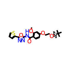 COc1cc(OCCO[Si](C)(C)C(C)(C)C)ccc1C(=O)Nc1nnc(-c2cccs2)o1